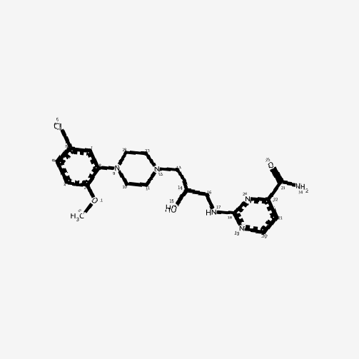 COc1ccc(Cl)cc1N1CCN(CC(O)CNc2nccc(C(N)=O)n2)CC1